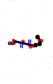 CC(C)(C)OC(=O)CCCCCNC(=O)CCCCCNC(=O)COc1ccc(-c2cccc(C(=O)OCc3ccccc3)c2)cc1